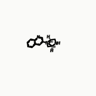 c1ccc2ncc(N3C[C@H]4C[C@@H]3CN4)cc2c1